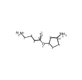 NCCCC(=O)OC1CCC(N)C1